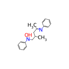 CC(CC(C)CN(O)c1ccccc1)=Nc1ccccc1